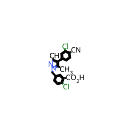 Cc1nn(Cc2ccc(Cl)c(C(=O)O)c2)c(C)c1-c1ccc(C#N)c(Cl)c1